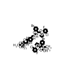 CC(C)(C)N(C(=O)O)[C@H](C(=O)N1CCCN1c1cc(F)ccc1Cl)c1ccc(Br)cc1.CC(C)(C)[Si](C)(C)O[C@@H]1CO[C@@H]2C[C@H]1Nc1ccc(CNC(=O)N[C@H](C(=O)N3CCCN3c3cc(F)ccc3Cl)c3ccc(Br)cc3)cc12